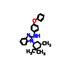 C[C@H]1C[C@@H](n2c(Nc3ccc(Oc4ccccc4)cc3)nc3ccccc32)CC(C)(C)C1